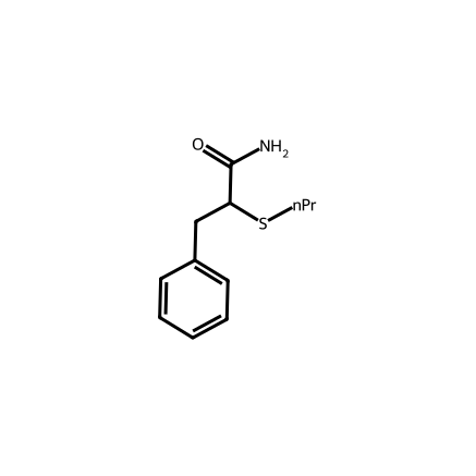 CCCSC(Cc1ccccc1)C(N)=O